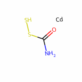 NC(=O)SS.[Cd]